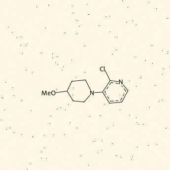 COC1CCN(c2cccnc2Cl)CC1